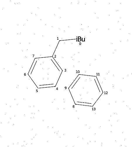 CCC(C)Cc1ccccc1.c1ccccc1